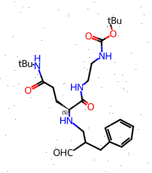 CC(C)(C)NC(=O)CC[C@H](NCC(C=O)Cc1ccccc1)C(=O)NCCNC(=O)OC(C)(C)C